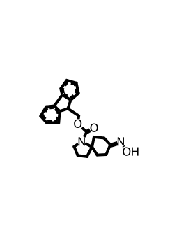 O=C(OCC1c2ccccc2-c2ccccc21)N1CCCC12CCC(=NO)CC2